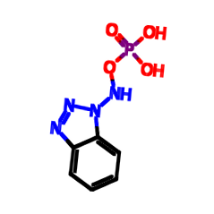 O=P(O)(O)ONn1nnc2ccccc21